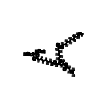 CCCCCCCCC(CCCCCCCC)OC(=O)CCCCCCCOCC1CC(OC(=O)CCN(C)C)CN1CCCCCC(=O)OCCCCCCCCC(C)C